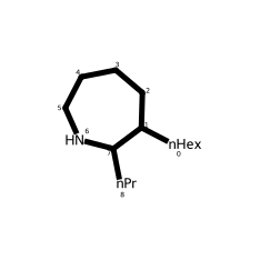 CCCCCCC1CCCCNC1CCC